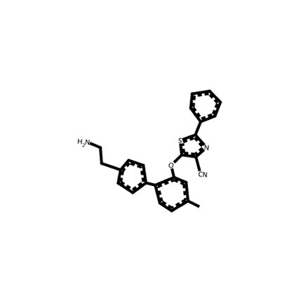 Cc1ccc(-c2ccc(CCN)cc2)c(Oc2sc(-c3ccccc3)nc2C#N)c1